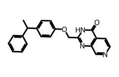 CC(c1ccccc1)c1ccc(OCc2nc3cnccc3c(=O)[nH]2)cc1